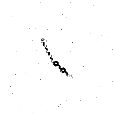 C/C=C/c1ccc(/C=C/c2ccc(OCCOCCOCCOCCOC)cc2)cc1